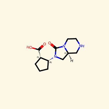 O=C(O)[C@H]1CCC[C@H]1N1C[C@@H]2CNCCN2C1=O